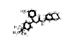 Cc1cccc(C(CC(=O)Nc2ccc3c(c2)OCCO3)c2ccc(C(C)(C)C)cc2)c1